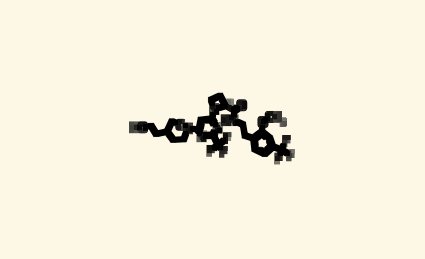 COc1cc(C(F)(F)F)ccc1CCNC(=O)[C@@H]1CCN1c1cc(N2CCC(CCO)CC2)nc(C(F)(F)F)n1